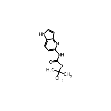 CC(C)(C)OC(=O)Nc1ccc2[nH]ccc2n1